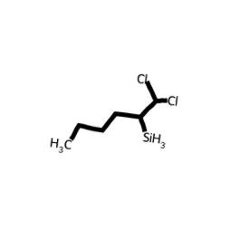 CCCCC([SiH3])C(Cl)Cl